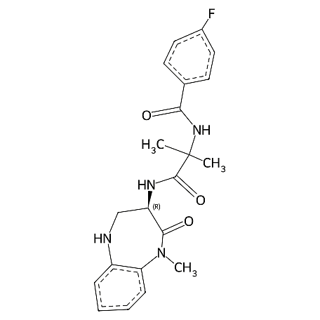 CN1C(=O)[C@H](NC(=O)C(C)(C)NC(=O)c2ccc(F)cc2)CNc2ccccc21